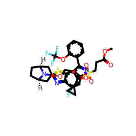 COC(=O)CCS(=O)(=O)c1cc(F)c2nc(N3[C@@H]4CC[C@H]3C[C@@H](OCc3c(-c5ccccc5OC(F)(F)F)noc3C3CC3)C4)sc2c1